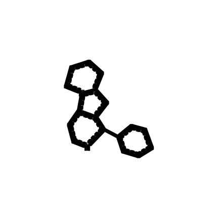 c1ccc(-c2nccc3c2cc2ccccn23)cc1